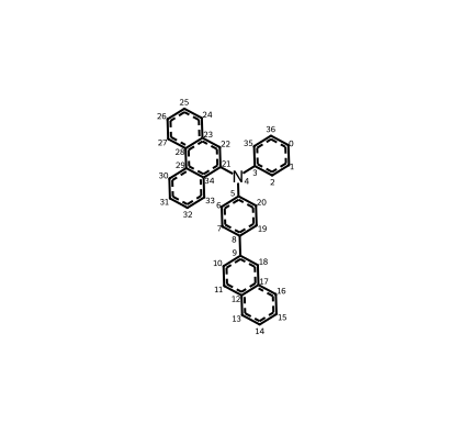 c1ccc(N(c2ccc(-c3ccc4ccccc4c3)cc2)c2cc3ccccc3c3ccccc23)cc1